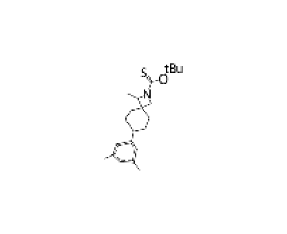 Cc1cc(C)cc(C2CCC3(CC2)CN(C(=S)OC(C)(C)C)C3C)c1